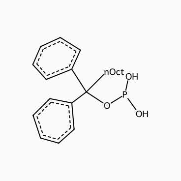 CCCCCCCCC(OP(O)O)(c1ccccc1)c1ccccc1